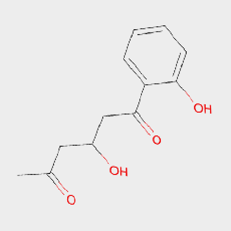 CC(=O)CC(O)CC(=O)c1ccccc1O